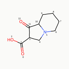 O=C(O)C1CN2CCCCC2C1=O